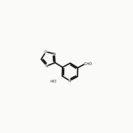 Cl.O=Cc1cncc(-c2ncon2)c1